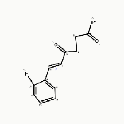 CC(C)C(=O)CCC(=O)/C=C/c1ccccc1F